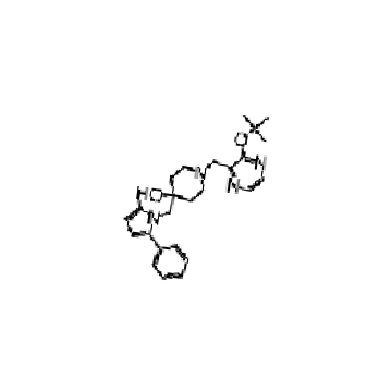 Cc1ccc(-c2ccccc2)n1CC1(O)CCN(Cc2nccnc2OC(C)(C)C)CC1